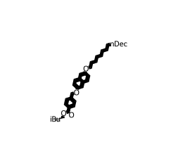 CCCCCCCCCCCCCCCCCCOc1ccc2cc(OCc3ccc(C(=O)OC[C@H](C)CC)cc3)ccc2c1